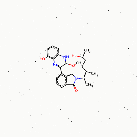 COC1Nc2cccc(O)c2N=C1c1cccc2c1CN(C(C)C(C)CCC(C)O)C2=O